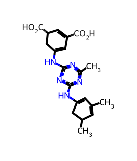 CC1=CC(C)CC(Nc2nc(C)nc(NC3=CC(C(=O)O)=CC(C(=O)O)C3)n2)=C1